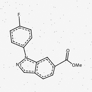 COC(=O)c1ccc2cnn(-c3ccc(F)cc3)c2c1